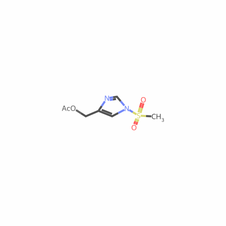 CC(=O)OCc1cn(S(C)(=O)=O)cn1